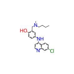 CCCCN(C)Cc1cc(Nc2ccnc3cc(Cl)ccc23)ccc1O